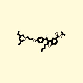 CCCCc1oc2ccc(C(=O)OC(C)C)cc2c1C(=O)c1ccc(OCCCN2CC(CC)CC(CC)C2)cc1